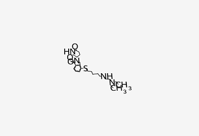 CCN(CC)CCNCCCCCSc1cccc2c1CN(C1CCC(=O)NC1=O)C2=O